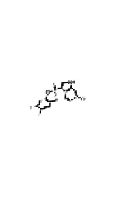 N#Cc1ccc2c(S(=O)(=O)Nc3cc(F)c(F)cc3F)c[nH]c2c1